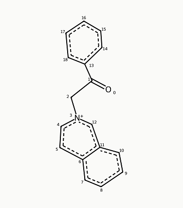 O=C(C[n+]1ccc2ccccc2c1)c1ccccc1